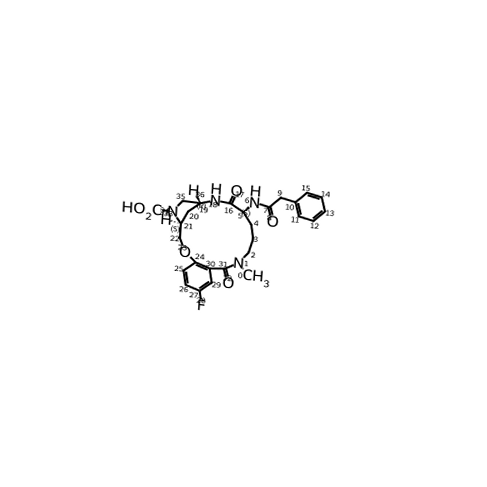 CN1CCC[C@H](NC(=O)Cc2ccccc2)C(=O)N[C@@H]2C[C@@H](COc3ccc(F)cc3C1=O)N(C(=O)O)C2